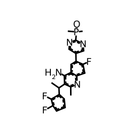 Cc1nc2cc(F)c(-c3cnc(P(C)(C)=O)nc3)cc2c(N)c1C(C)c1cccc(F)c1F